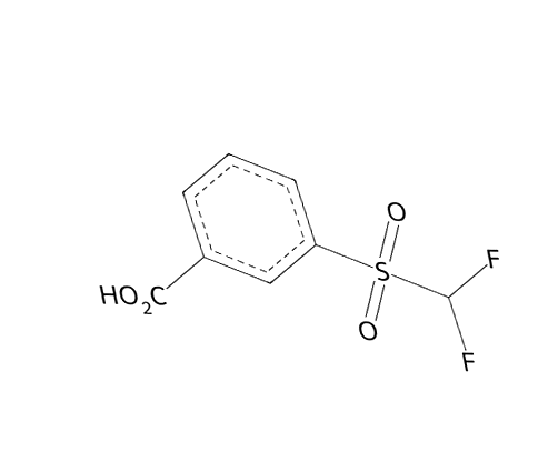 O=C(O)c1cccc(S(=O)(=O)C(F)F)c1